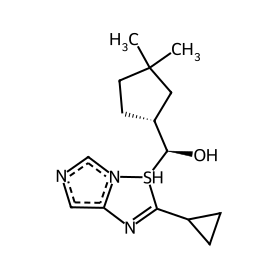 CC1(C)CC[C@@H]([C@@H](O)[SH]2C(C3CC3)=Nc3cncn32)C1